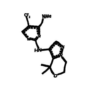 CNc1nc(Nc2cnn3c2C(C)(C)OCC3)ncc1C(F)(F)F